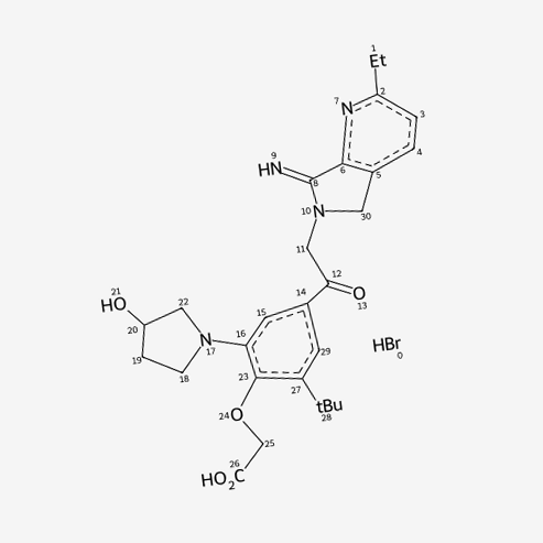 Br.CCc1ccc2c(n1)C(=N)N(CC(=O)c1cc(N3CCC(O)C3)c(OCC(=O)O)c(C(C)(C)C)c1)C2